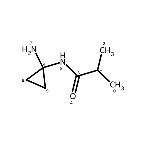 CC(C)C(=O)NC1(N)CC1